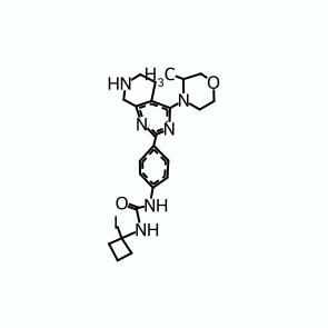 CC1COCCN1c1nc(-c2ccc(NC(=O)NC3(I)CCC3)cc2)nc2c1CCNC2